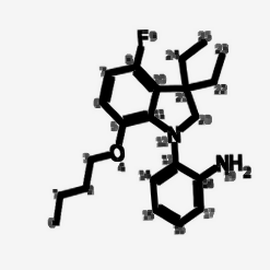 CCCCOc1ccc(F)c2c1N(c1ccccc1N)CC2(CC)CC